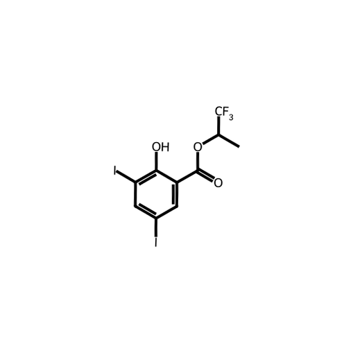 CC(OC(=O)c1cc(I)cc(I)c1O)C(F)(F)F